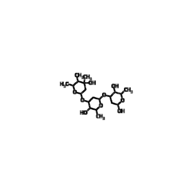 CC1OC(O)CC(OC2CC(OC3CC(C)(O)C(C)C(C)O3)C(O)C(C)O2)C1O